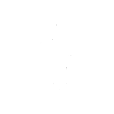 CN1C(=N)N[C@]2(C)c3cc(NC(=O)c4ccc(C(F)(F)F)cn4)ccc3OCC[C@@H]2S1(O)O